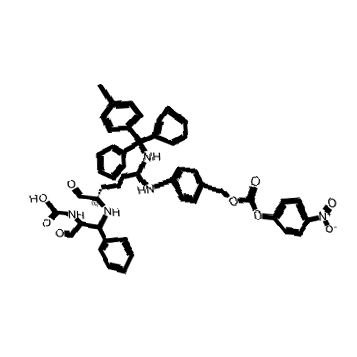 Cc1ccc(C(NC(CCC[C@@H](C=O)NC(c2ccccc2)C(C=O)NC(=O)O)Nc2ccc(COC(=O)Oc3ccc([N+](=O)[O-])cc3)cc2)(c2ccccc2)c2ccccc2)cc1